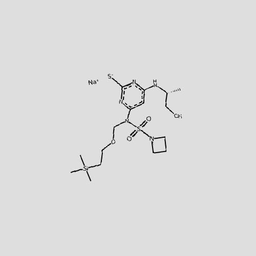 C[C@H](CO)Nc1cc(N(COCC[Si](C)(C)C)S(=O)(=O)N2CCC2)nc([S-])n1.[Na+]